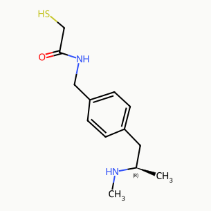 CN[C@H](C)Cc1ccc(CNC(=O)CS)cc1